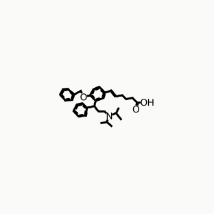 CC(C)N(CCC(c1ccccc1)c1cc(C=CCCCC(=O)O)ccc1OCc1ccccc1)C(C)C